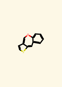 C1=c2ccsc2=Cc2ccccc2O1